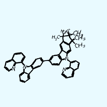 CC1(C)c2cc3c4cc(-c5ccc6c(c5)c5ccccc5n6-c5cccc6cccnc56)ccc4n(-c4cccc5cccnc45)c3cc2C(C)(C)C1(C)C